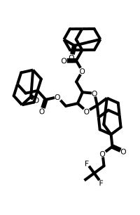 CC(F)(F)COC(=O)C12CC3CC(C1)C1(OC(COC(=O)C45CC6CC(C4)C(=O)C(C6)C5)C(COC(=O)C45CC6CC(C4)C(=O)C(C6)C5)O1)C(C3)C2